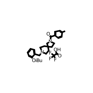 Cc1ccc(C(=O)N2CCC3(CCN(Cc4ccccc4OCC(C)C)CC3)C2)cc1.O=C(O)C(F)(F)F